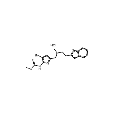 COC(=O)Nc1sc(CN(C)CCc2cc3ccccc3s2)cc1Br.Cl